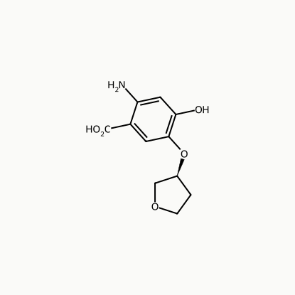 Nc1cc(O)c(O[C@H]2CCOC2)cc1C(=O)O